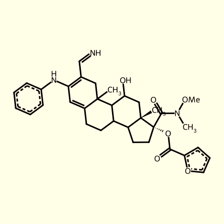 CON(C)C(=O)[C@@]1(OC(=O)c2ccco2)CCC2C3CCC4=CC(Nc5ccccc5)=C(C=N)CC4(C)C3C(O)C[C@@]21C